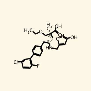 CCOC[C@](C)(C[C@@H](Cc1ccc(-c2cc(Cl)ccc2F)cc1)NCc1cc(O)no1)C(=O)O